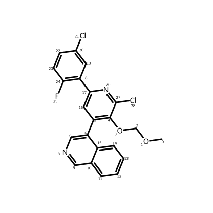 COCOc1c(-c2cncc3ccccc23)cc(-c2cc(Cl)ccc2F)nc1Cl